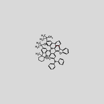 CC(C)(C)c1ccc(N2B3c4cc(C(C)(C)C)cc5c4N(c4cc(N(c6ccccc6)c6ccccc6)cc(c43)-c3c2ccc2c3oc3ccccc32)C2(C)CCCCC52C)c(-c2ccccc2)c1